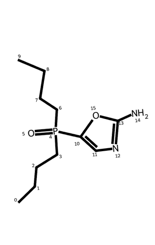 CCCCP(=O)(CCCC)c1cnc(N)o1